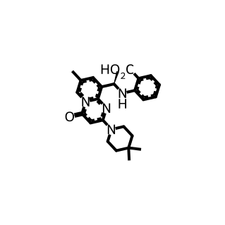 Cc1cc([C@@H](C)Nc2ccccc2C(=O)O)c2nc(N3CCC(C)(C)CC3)cc(=O)n2c1